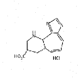 Cl.O=C(O)C1CNC2C3=NC=NC3=CC=CC2C1